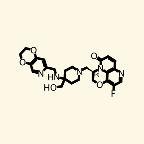 O=c1ccc2ncc(F)c3c2n1[C@H](CN1CCC(CO)(NCc2cc4c(cn2)OCCO4)CC1)CO3